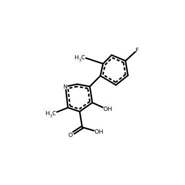 Cc1cc(F)ccc1-c1cnc(C)c(C(=O)O)c1O